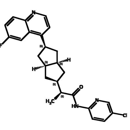 C[C@H](C(=O)Nc1ccc(Cl)cn1)[C@H]1C[C@H]2C[C@@H](c3ccnc4ccc(F)cc34)C[C@H]2C1